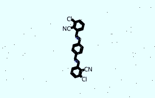 N#Cc1c(Cl)cccc1/C=C/c1ccc(/C=C/c2cccc(Cl)c2C#N)cc1